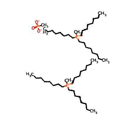 CCCCCCCC[P+](C)(CCCCCCCC)CCCCCCCC.CCCCCCCC[P+](C)(CCCCCCCC)CCCCCCCC.CP(=O)([O-])[O-]